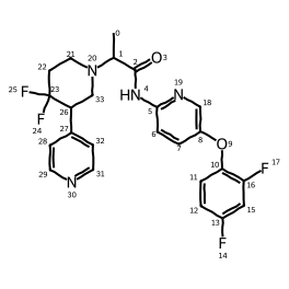 CC(C(=O)Nc1ccc(Oc2ccc(F)cc2F)cn1)N1CCC(F)(F)C(c2ccncc2)C1